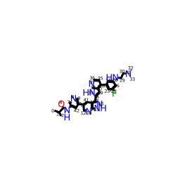 CC(C)C(=O)Nc1cncc(-c2cnc3[nH]nc(-c4cc5c(-c6cc(F)cc(NCCN(C)C)c6)ccnc5[nH]4)c3c2)c1